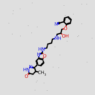 CC1CC(=O)NN=C1c1ccc2oc(NCCCCNCC(O)COc3ccccc3C#N)nc2c1